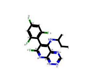 CCC(C)Nc1c(-c2c(F)cc(F)cc2F)c(F)nc2nncnc12